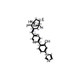 Oc1cc(-n2ccnc2)ccc1-c1cnc(/C=C2\C[C@@H]3N[C@@H](C[C@@H]3F)[C@H]2F)cn1